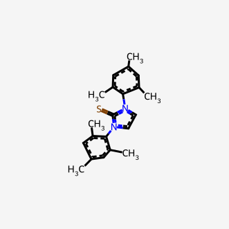 Cc1cc(C)c(-n2ccn(-c3c(C)cc(C)cc3C)c2=S)c(C)c1